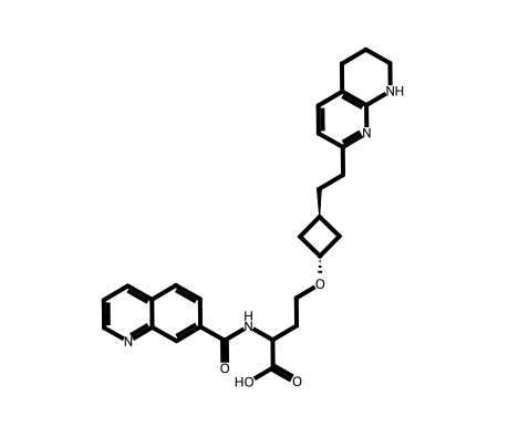 O=C(NC(CCO[C@H]1C[C@H](CCc2ccc3c(n2)NCCC3)C1)C(=O)O)c1ccc2cccnc2c1